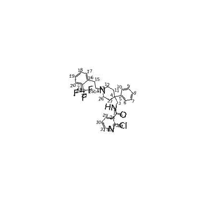 O=C(NCC1(c2ccccc2)CCN(CCc2ccccc2C(F)(F)F)CC1)c1cccnc1Cl